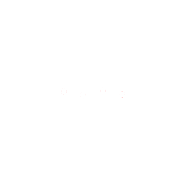 CO[CH]COCCOCCOC